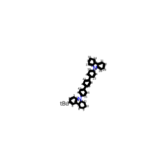 CC(C)(C)c1ccc2c(c1)C1CCCCC1N2c1ccc(-c2ccc(-c3ccc(-n4c5ccccc5c5ccccc54)cc3)cc2)cc1